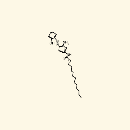 CCCCCCCCCCCCOC(=O)Nc1ccc(/N=N/c2ccccc2O)c(N)n1